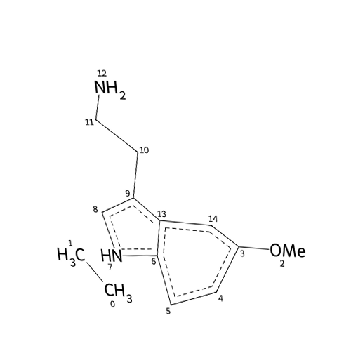 CC.COc1ccc2[nH]cc(CCN)c2c1